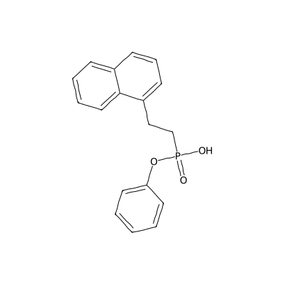 O=P(O)(CCc1cccc2ccccc12)Oc1ccccc1